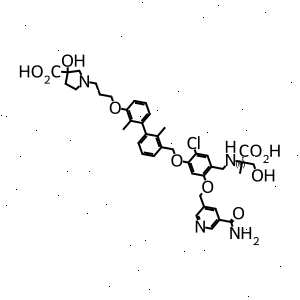 Cc1c(COc2cc(OCc3cncc(C(N)=O)c3)c(CN[C@](C)(CO)C(=O)O)cc2Cl)cccc1-c1cccc(OCCCN2CCC(O)(C(=O)O)C2)c1C